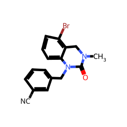 CN1Cc2c(Br)cccc2N(Cc2cccc(C#N)c2)C1=O